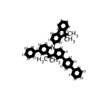 CC1(C)c2ccccc2-c2ccc(N3c4ccc(-c5ccccc5)cc4C(C)(C)c4cc(-c5ccc(-c6ccccc6)cc5)ccc43)cc21